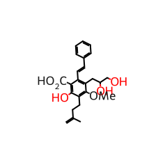 C=C(C)CCc1c(O)c(C(=O)O)c(C=Cc2ccccc2)c(CC(O)CO)c1OC